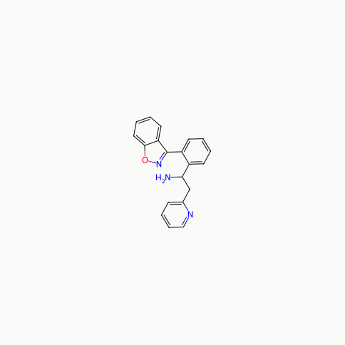 NC(Cc1ccccn1)c1ccccc1-c1noc2ccccc12